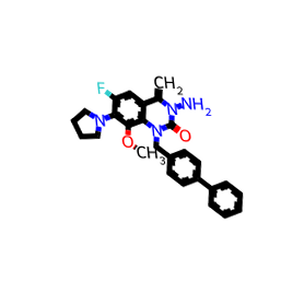 C=C1c2cc(F)c(N3CCCC3)c(OC)c2N(Cc2ccc(-c3ccccc3)cc2)C(=O)N1N